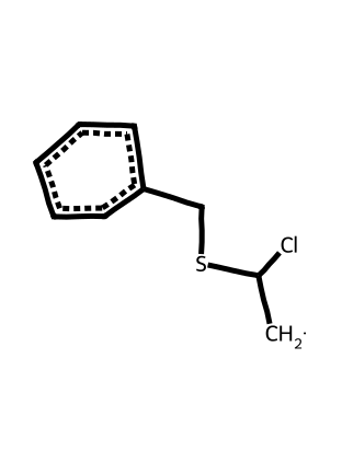 [CH2]C(Cl)SCc1ccccc1